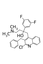 CN(C)CCC(O)(Cc1c(Cc2ccccc2)c(Cl)nc2ccccc12)c1cc(F)cc(F)c1